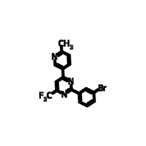 Cc1ccc(-c2cc(C(F)(F)F)nc(-c3cccc(Br)c3)n2)cn1